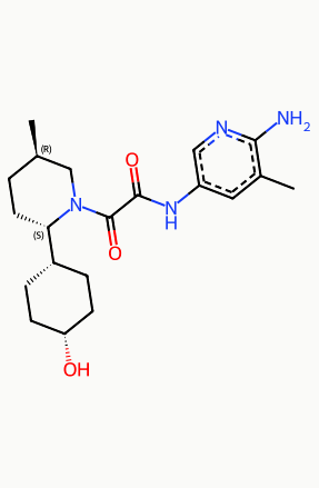 Cc1cc(NC(=O)C(=O)N2C[C@H](C)CC[C@H]2[C@H]2CC[C@@H](O)CC2)cnc1N